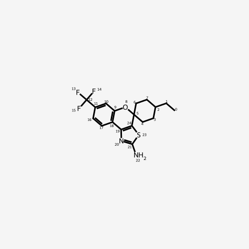 CCC1CCC2(CC1)Oc1cc(C(F)(F)F)ccc1-c1nc(N)sc12